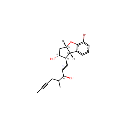 CC#CCC(C)[C@H](O)/C=C/[C@@H]1[C@H]2c3cccc(Br)c3O[C@H]2C[C@H]1O